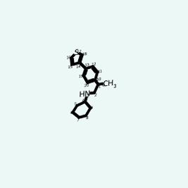 CC(CNC1CCCCC1)c1ccc(-c2ccsc2)cc1